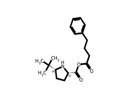 CC(C)(C)[C@H]1CC[C@@H](C(=O)OC(=O)CCCc2ccccc2)N1